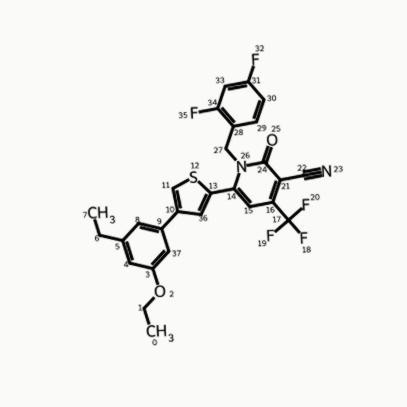 CCOc1cc(CC)cc(-c2csc(-c3cc(C(F)(F)F)c(C#N)c(=O)n3Cc3ccc(F)cc3F)c2)c1